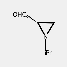 CC(C)N1C[C@H]1C=O